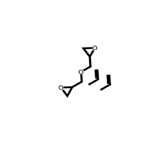 C(OCC1CO1)C1CO1.C=CC.C=CC